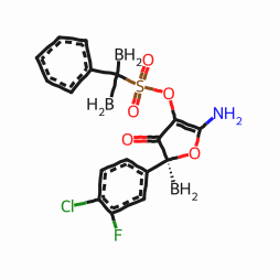 BC(B)(c1ccccc1)S(=O)(=O)OC1=C(N)O[C@@](B)(c2ccc(Cl)c(F)c2)C1=O